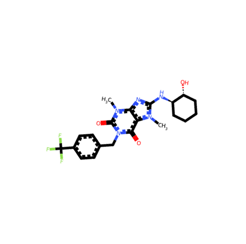 Cn1c(N[C@@H]2CCCC[C@H]2O)nc2c1c(=O)n(Cc1ccc(C(F)(F)F)cc1)c(=O)n2C